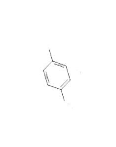 [CH2]c1ccc(I)cc1.[Zn]